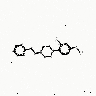 COc1ccc(N2CCN(CCc3ccccc3)CC2)c(C)c1